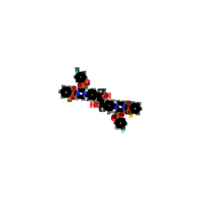 O=S(=O)(C[C@H]1CN(S(=O)(=O)C2=CC=CCC2=S)CCN1c1ccc(C(O)(CC[C@](O)(c2ccc(N3CCN(S(=O)(=O)C4=CC=CCC4=S)C[C@@H]3CS(=O)(=O)c3ccc(F)cc3)cc2)C(F)(F)F)C(F)(F)F)cc1)c1ccc(F)cc1